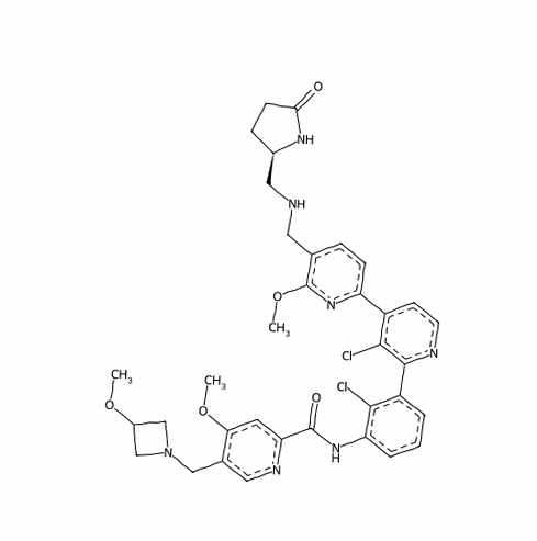 COc1cc(C(=O)Nc2cccc(-c3nccc(-c4ccc(CNC[C@H]5CCC(=O)N5)c(OC)n4)c3Cl)c2Cl)ncc1CN1CC(OC)C1